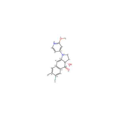 COc1cc(N2CC[C@@]3(O)C(=O)c4cc(F)c(C)cc4C=C23)ccn1